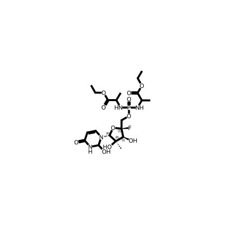 CCOC(=O)C(C)NP(=O)(NC(C)C(=O)OCC)OC[C@@]1(F)O[C@@H](N2C=CC(=O)NC2O)[C@](C)(O)[C@@H]1O